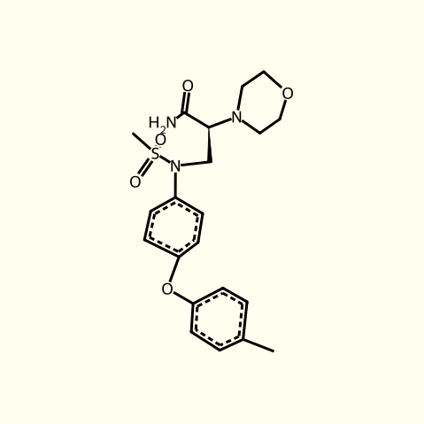 Cc1ccc(Oc2ccc(N(C[C@@H](C(N)=O)N3CCOCC3)S(C)(=O)=O)cc2)cc1